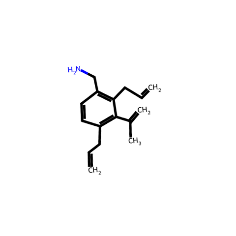 C=CCc1ccc(CN)c(CC=C)c1C(=C)C